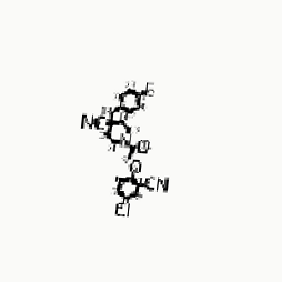 N#Cc1cc(Cl)ccc1OCC(=O)N1CCC(C#N)(Cc2ccc(F)cc2)CC1